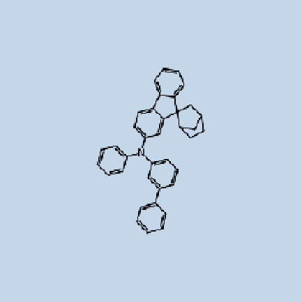 c1ccc(-c2cccc(N(c3ccccc3)c3ccc4c(c3)C3(CC5CCC3C5)c3ccccc3-4)c2)cc1